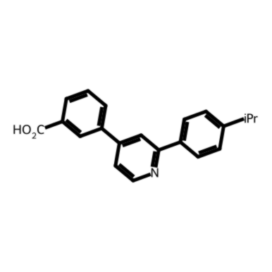 CC(C)c1ccc(-c2cc(-c3cccc(C(=O)O)c3)ccn2)cc1